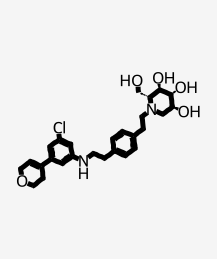 OC[C@@H]1[C@@H](O)[C@H](O)[C@@H](O)CN1CCc1ccc(CCNc2cc(Cl)cc(C3=CCOCC3)c2)cc1